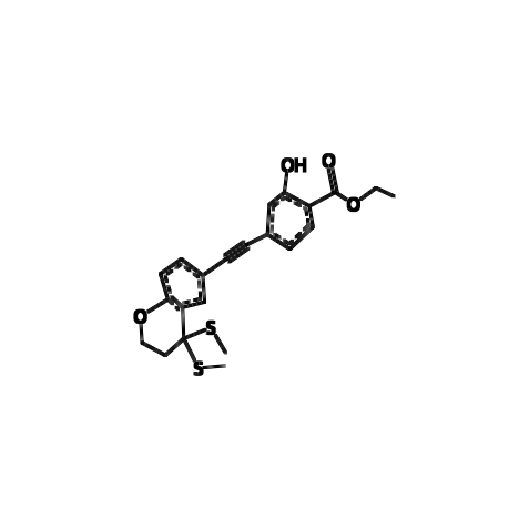 CCOC(=O)c1ccc(C#Cc2ccc3c(c2)C(SC)(SC)CCO3)cc1O